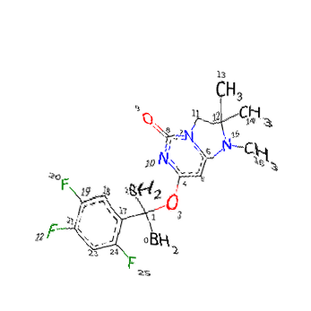 BC(B)(Oc1cc2n(c(=O)n1)CC(C)(C)N2C)c1cc(F)c(F)cc1F